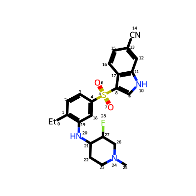 CCc1ccc(S(=O)(=O)c2c[nH]c3cc(C#N)ccc23)cc1NC1CCN(C)CC1F